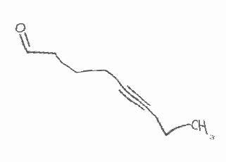 CCC#CCCCC=O